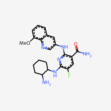 COc1cccc2cc(Nc3nc(NC4CCCCC4N)c(F)cc3C(N)=O)cnc12